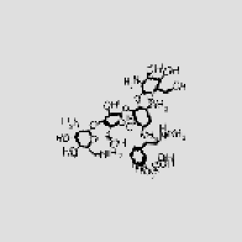 NC[C@@H]1O[C@H](O[C@H]2[C@@H](O)[C@H](O[C@@H]3[C@@H](O)[C@H](N)C[C@H](N)[C@H]3O[C@H]3O[C@H](CO)[C@@H](O)[C@H](O)[C@H]3N)O[C@@H]2CO)[C@H](N)[C@@H](O)[C@@H]1O.NNCCc1ccccc1.O=S(=O)(O)O.O=S(=O)(O)O